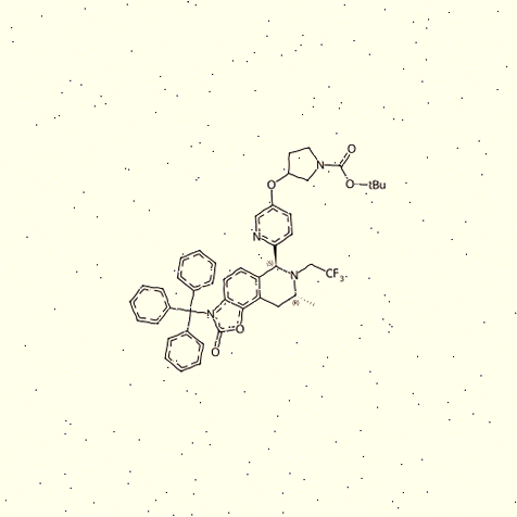 C[C@@H]1Cc2c(ccc3c2oc(=O)n3C(c2ccccc2)(c2ccccc2)c2ccccc2)[C@@H](c2ccc(OC3CCN(C(=O)OC(C)(C)C)C3)cn2)N1CC(F)(F)F